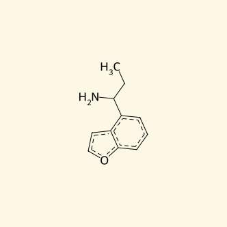 CCC(N)c1cccc2occc12